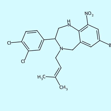 CC(C)=CCN1Cc2cc(Br)cc([N+](=O)[O-])c2NCC1c1ccc(Cl)c(Cl)c1